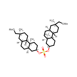 COC[C@@]1(C)CC[C@H]2[C@@H](CC[C@@H]3C[C@H](OS(=O)(=O)O[C@@H]4CC[C@@]5(C)[C@H](CC[C@H]6C[C@@](C)(COC)CC[C@@H]65)C4)CC[C@@]32C)C1